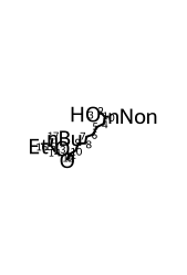 CCCCCCCCCC(CO)CCCCCCCC(=O)OCC(CC)CCCC